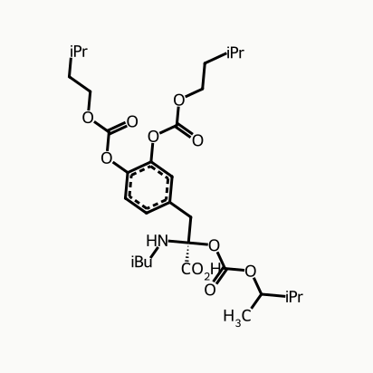 CCC(C)N[C@@](Cc1ccc(OC(=O)OCCC(C)C)c(OC(=O)OCCC(C)C)c1)(OC(=O)OC(C)C(C)C)C(=O)O